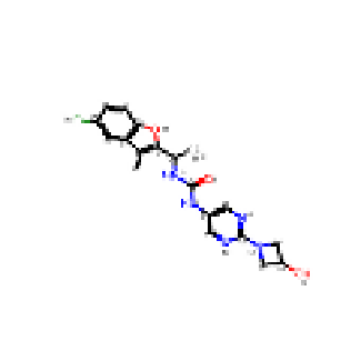 Cc1c(C(NC(=O)Nc2cnc(N3CC(O)C3)nc2)C(F)(F)F)oc2ccc(F)cc12